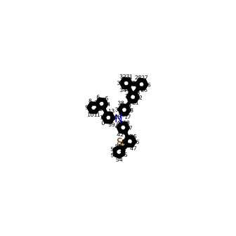 c1cc(-c2cccc3ccccc23)cc(N(c2ccc(-c3ccc4c5ccccc5c5ccccc5c4c3)cc2)c2ccc(-c3cccc4c3sc3ccccc34)cc2)c1